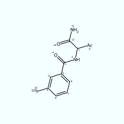 CC(=O)C(NC(=O)c1cccc([125I])c1)C(N)=O